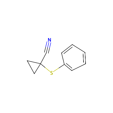 N#CC1(Sc2ccccc2)CC1